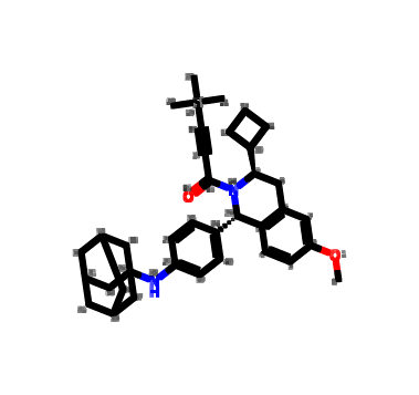 COc1ccc2c(c1)C[C@H](C1CCC1)N(C(=O)C#C[Si](C)(C)C)[C@H]2c1ccc(NC23CC4CC(CC(C4)C2)C3)cc1